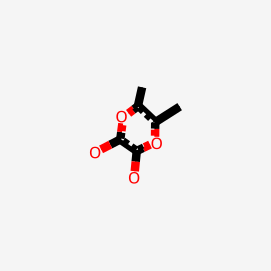 C=c1oc(=O)c(=O)oc1=C